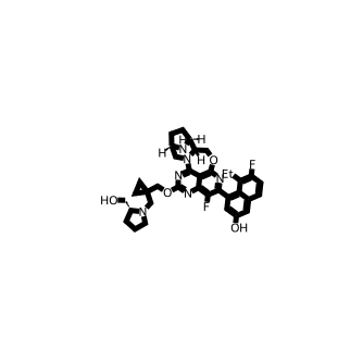 CCc1c(F)ccc2cc(O)cc(-c3nc4c5c(nc(OCC6(CN7CCC[C@@H]7CO)CC6)nc5c3F)N3C[C@H]5CC[C@H](N5)[C@@H]3CO4)c12